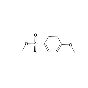 CCOS(=O)(=O)c1ccc(OC)cc1